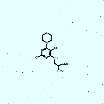 COC(CNc1nc(Cl)nc(N2CCOCC2)c1N)OC